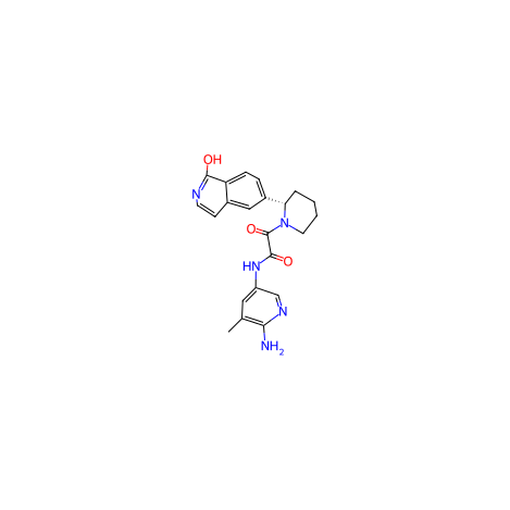 Cc1cc(NC(=O)C(=O)N2CCCC[C@H]2c2ccc3c(O)nccc3c2)cnc1N